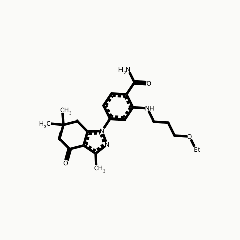 CCOCCCNc1cc(-n2nc(C)c3c2CC(C)(C)CC3=O)ccc1C(N)=O